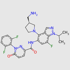 CC(C)n1ncc2c(N3CC[C@@H](CN)C3)c(NC(=O)c3ccc(=O)n(-c4c(F)cccc4F)n3)cc(F)c21